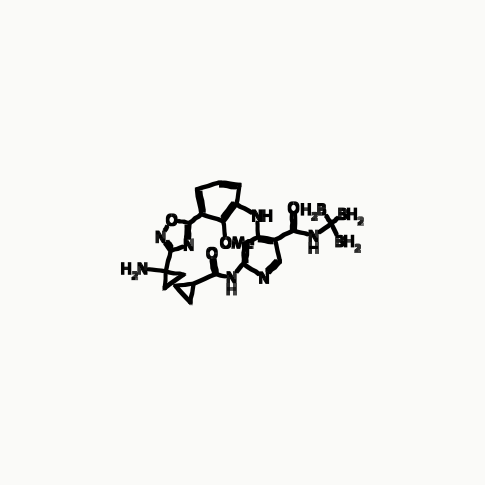 BC(B)(B)NC(=O)c1cnc(NC(=O)C2CC2)cc1Nc1cccc(-c2nc(C3(N)CC3)no2)c1OC